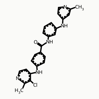 Cc1cc(Nc2cccc(NC(=O)c3ccc(Nc4ccnc(C)c4Cl)cc3)c2)ccn1